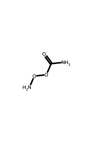 NOOC(N)=O